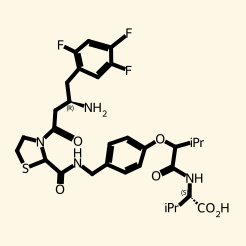 CC(C)C(Oc1ccc(CNC(=O)C2SCCN2C(=O)C[C@H](N)Cc2cc(F)c(F)cc2F)cc1)C(=O)N[C@H](C(=O)O)C(C)C